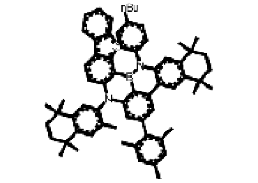 CCCCc1ccc(N2B3c4c(cc(-c5c(C)cc(C)cc5C)cc4N(c4cc5c(cc4C)C(C)(C)CCC5(C)C)c4ccc5c(sc6ccccc65)c43)-c3cc4c(cc32)C(C)(C)CCC4(C)C)cc1